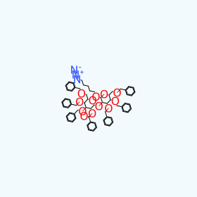 [N-]=[N+]=NCCCCCO[C@H]1OC(COCc2ccccc2)[C@@H](OCc2ccccc2)C(OCc2ccccc2)C1O[C@H]1OC(COCc2ccccc2)[C@@H](OCc2ccccc2)C(OCc2ccccc2)C1OC(=O)c1ccccc1